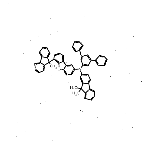 CC1(C)c2ccccc2-c2ccc(N(c3cc(-c4ccccc4)cc(-c4ccccc4)c3)c3ccc4oc5c(C6(C)c7ccccc7-c7ccccc76)cccc5c4c3)cc21